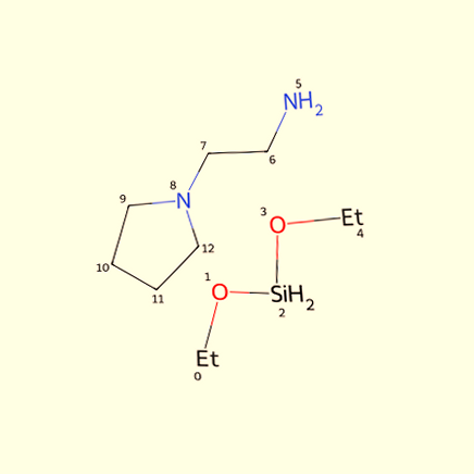 CCO[SiH2]OCC.NCCN1CCCC1